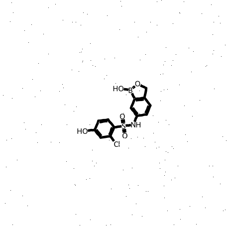 O=S(=O)(Nc1ccc2c(c1)B(O)OC2)c1ccc(O)cc1Cl